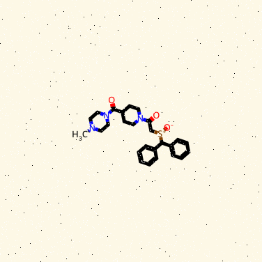 CN1CCN(C(=O)C2CCN(C(=O)C[S+]([O-])C(c3ccccc3)c3ccccc3)CC2)CC1